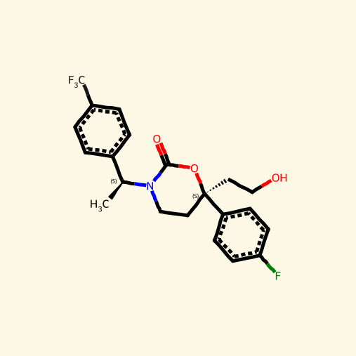 C[C@@H](c1ccc(C(F)(F)F)cc1)N1CC[C@](CCO)(c2ccc(F)cc2)OC1=O